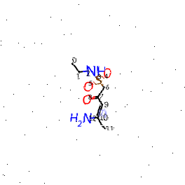 CCNS(=O)(=O)CC(=O)/C=C(/C)N